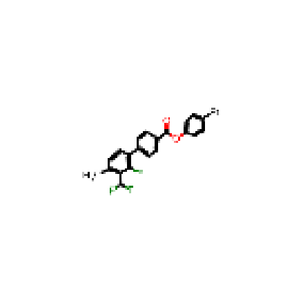 CCc1ccc(OC(=O)c2ccc(-c3ccc(C)c(C(F)F)c3F)cc2)cc1